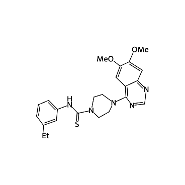 CCc1cccc(NC(=S)N2CCN(c3ncnc4cc(OC)c(OC)cc34)CC2)c1